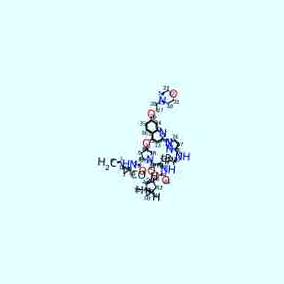 C=C[C@@H]1C[C@]1(NC(=O)[C@@H]1C[C@@H](Oc2cc(-n3ccc(NC(C)C)n3)nc3cc(OCCN4CCOCC4)ccc23)CN1C(=O)[C@@H](NC(=O)O[C@@H]1C[C@@H]2C[C@@H]2C1)C(C)(C)C)C(=O)O